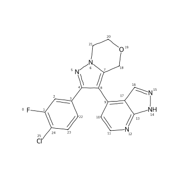 Fc1cc(-c2nn3c(c2-c2ccnc4[nH]ncc24)COCC3)ccc1Cl